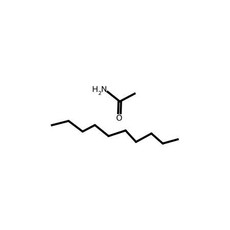 CC(N)=O.CCCCCCCCCC